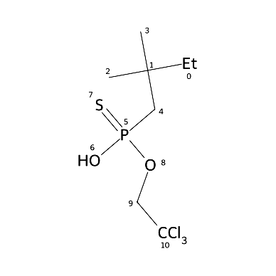 CCC(C)(C)CP(O)(=S)OCC(Cl)(Cl)Cl